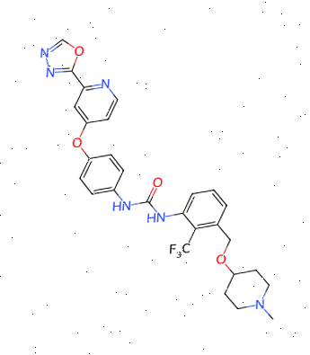 CN1CCC(OCc2cccc(NC(=O)Nc3ccc(Oc4ccnc(-c5nnco5)c4)cc3)c2C(F)(F)F)CC1